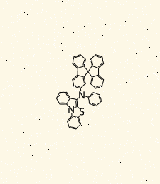 c1ccc(N(c2ccc3c(c2)C2(c4ccccc4-c4ccccc42)c2ccccc2-3)c2c3ccccc3n3c2sc2ccccc23)cc1